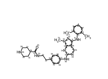 Cc1cccc(C)c1Nc1nn(C)c2nc(Nc3ccc(CCNC(=O)C4CCNCC4)cc3)ncc12